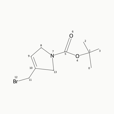 CC(C)(C)OC(=O)N1CC=C(CBr)C1